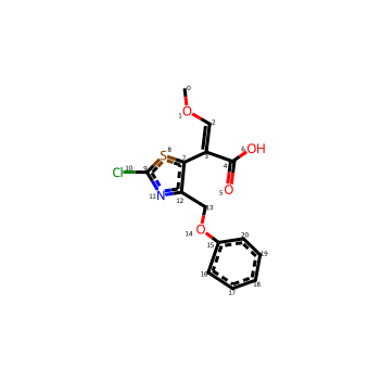 CO/C=C(/C(=O)O)c1sc(Cl)nc1COc1ccccc1